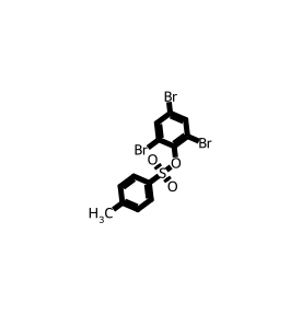 Cc1ccc(S(=O)(=O)Oc2c(Br)cc(Br)cc2Br)cc1